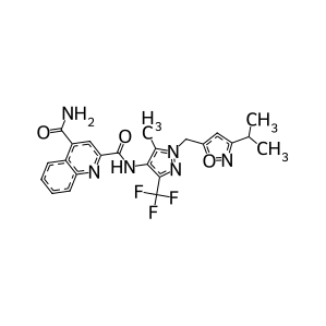 Cc1c(NC(=O)c2cc(C(N)=O)c3ccccc3n2)c(C(F)(F)F)nn1Cc1cc(C(C)C)no1